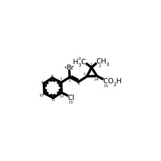 CC1(C)C(/C=C(\Br)c2ccccc2Cl)C1C(=O)O